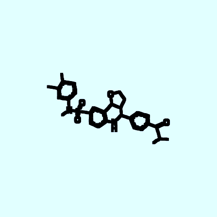 Cc1ccc(N(C)S(=O)(=O)c2ccc3c(c2)C2OCCC2C(c2ccc(C(=O)C(C)C)cc2)N3)cc1C